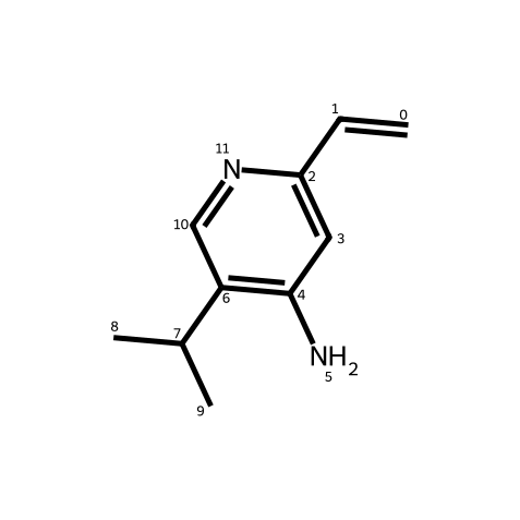 C=Cc1cc(N)c(C(C)C)cn1